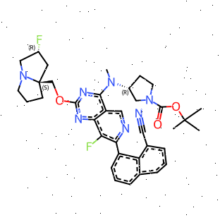 CN(c1nc(OC[C@@]23CCCN2C[C@H](F)C3)nc2c(F)c(-c3cccc4cccc(C#N)c34)ncc12)[C@@H]1CCN(C(=O)OC(C)(C)C)C1